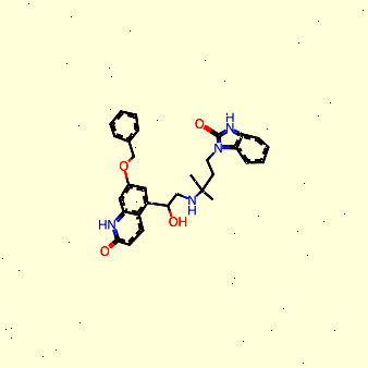 CC(C)(CCn1c(=O)[nH]c2ccccc21)NCC(O)c1cc(OCc2ccccc2)cc2[nH]c(=O)ccc12